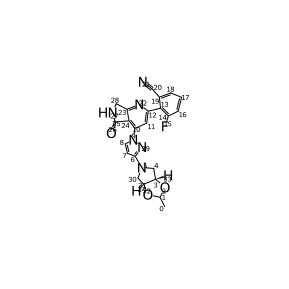 CC1O[C@H]2CN(c3ccn(-c4cc(-c5c(F)cccc5C#N)nc5c4C(=O)NC5)n3)C[C@H]2O1